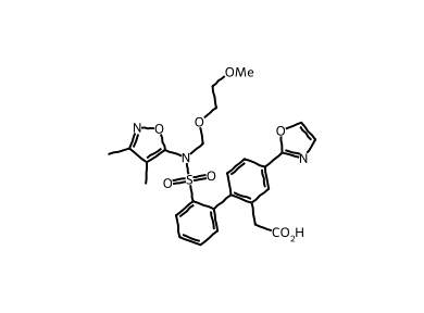 COCCOCN(c1onc(C)c1C)S(=O)(=O)c1ccccc1-c1ccc(-c2ncco2)cc1CC(=O)O